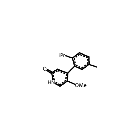 COc1c[nH]c(=O)cc1-c1cc(C)ccc1C(C)C